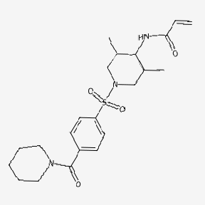 C=CC(=O)NC1C(C)CN(S(=O)(=O)c2ccc(C(=O)N3CCCCC3)cc2)CC1C